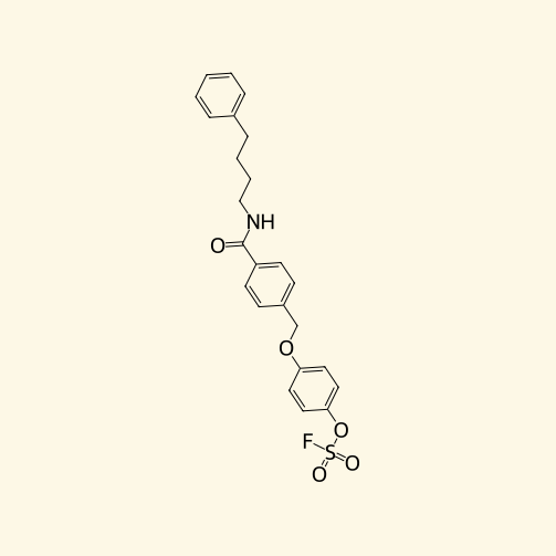 O=C(NCCCCc1ccccc1)c1ccc(COc2ccc(OS(=O)(=O)F)cc2)cc1